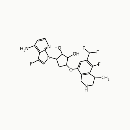 CC1CNCc2c(OC3CC(n4cc(F)c5c(N)ccnc54)C(O)C3O)cc(C(F)F)c(F)c21